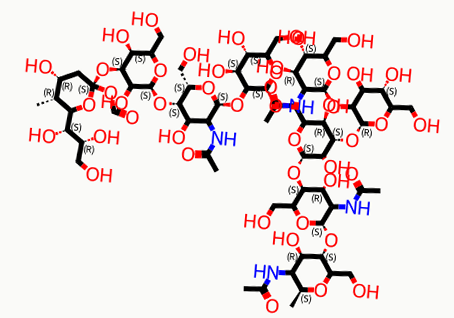 CC(=O)NC1C(O)[C@H](O[C@@H]2OC(CO)[C@H](O)[C@H](O[C@]3(OC=O)C[C@@H](O)[C@@H](C)C([C@@H](O)[C@H](O)CO)O3)C2O)[C@H](CO)O[C@H]1OC1[C@@H](OCC2O[C@@H](O[C@@H]3C(CO)O[C@@H](O[C@@H]4C(CO)O[C@@H](C)C(NC(C)=O)[C@H]4O)C(NC(C)=O)[C@H]3O)C(O)[C@@H](O[C@H]3OC(CO)[C@@H](O)C(O)C3O[C@@H]3OC(CO)[C@@H](O)[C@H](O)C3NC(C)=O)[C@@H]2O)OC(CO)[C@@H](O)[C@@H]1O